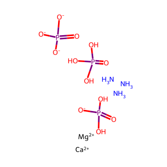 N.N.N.O=P(O)(O)O.O=P([O-])(O)O.O=P([O-])([O-])[O-].[Ca+2].[Mg+2]